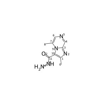 Cc1nc2cncc(C)n2c1C(=O)NN